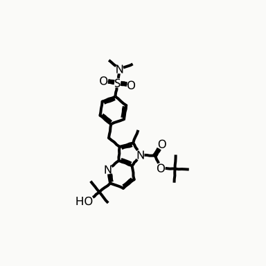 Cc1c(Cc2ccc(S(=O)(=O)N(C)C)cc2)c2nc(C(C)(C)O)ccc2n1C(=O)OC(C)(C)C